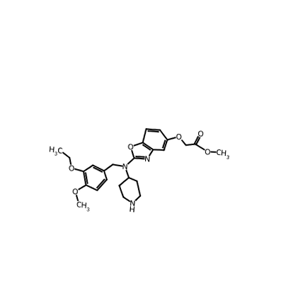 CCOc1cc(CN(c2nc3cc(OCC(=O)OC)ccc3o2)C2CCNCC2)ccc1OC